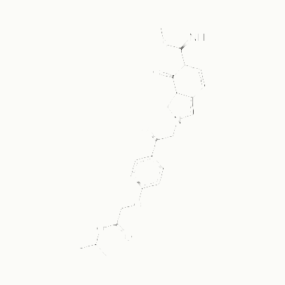 CSC(=N)C1C=CC2=CN(CC(=O)c3ccc(OCC(=O)OC(C)C)cc3)CC2C1=O